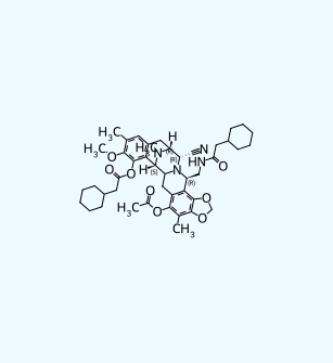 COc1c(C)cc2c(c1OC(=O)CC1CCCCC1)[C@H]1C3Cc4c(OC(C)=O)c(C)c5c(c4[C@H](CNC(=O)CC4CCCCC4)N3[C@@H](C#N)[C@@H](C2)N1C)OCO5